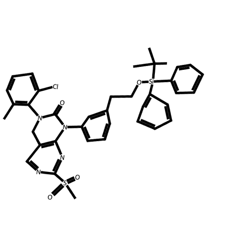 Cc1cccc(Cl)c1N1Cc2cnc(S(C)(=O)=O)nc2N(c2cccc(CCO[Si](c3ccccc3)(c3ccccc3)C(C)(C)C)c2)C1=O